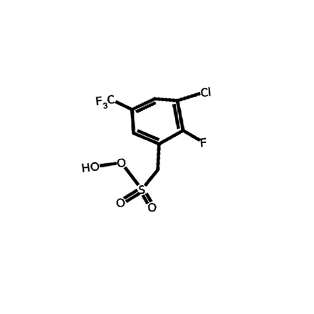 O=S(=O)(Cc1cc(C(F)(F)F)cc(Cl)c1F)OO